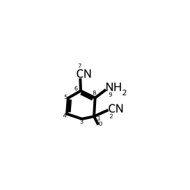 CC1(C#N)CC=CC(C#N)=C1N